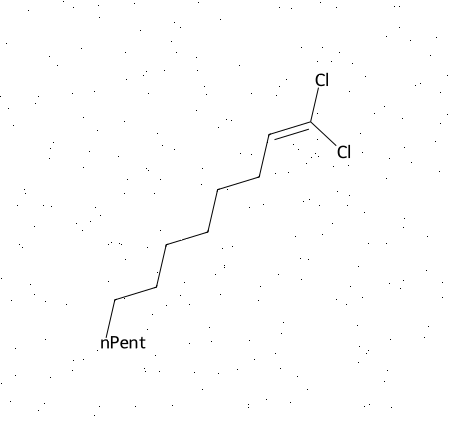 C[CH]CCCCCCCCCC=C(Cl)Cl